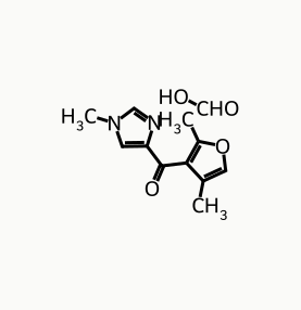 Cc1coc(C)c1C(=O)c1cn(C)cn1.O=CO